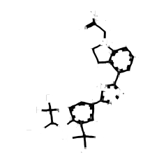 CC(Oc1ccc(-c2nc(-c3cccc4c3CCN4CC(N)=O)no2)cc1C(F)(F)F)C(F)(F)F